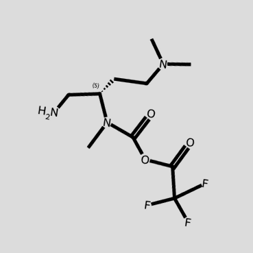 CN(C)CC[C@@H](CN)N(C)C(=O)OC(=O)C(F)(F)F